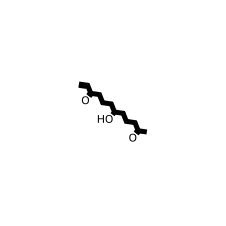 C=CC(=O)CCCC(O)CCCC(C)=O